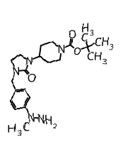 CN(N)c1ccc(CN2CCN(C3CCN(C(=O)OC(C)(C)C)CC3)C2=O)cc1